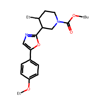 CCOc1ccc(-c2cnc(C3CN(C(=O)OC(C)(C)C)CCC3CC)o2)cc1